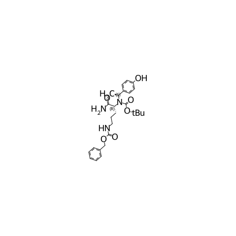 C[C@@H](c1ccc(O)cc1)N(C(=O)OC(C)(C)C)[C@H](CCCNC(=O)OCc1ccccc1)C(N)=O